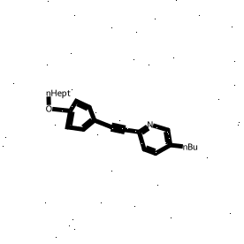 CCCCCCCOc1ccc(C#Cc2ccc(CCCC)cn2)cc1